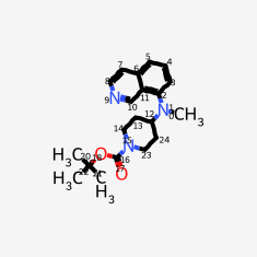 CN(c1cccc2ccncc12)C1CCN(C(=O)OC(C)(C)C)CC1